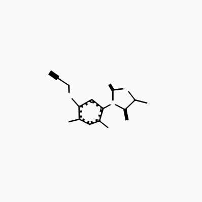 C#CCOc1cc(N2C(=O)OC(C(C)C)C2=O)c(F)cc1F